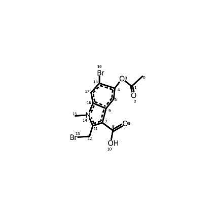 CC(=O)Oc1cc2c(C(=O)O)c(CBr)n(C)c2cc1Br